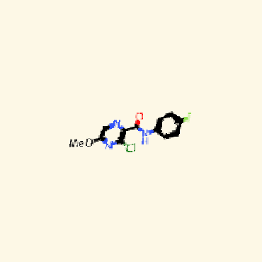 COc1cnc(C(=O)Nc2ccc(F)cc2)c(Cl)n1